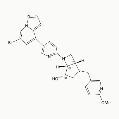 COc1ccc(CN2C[C@H](O)[C@H]3[C@@H]2CN3c2ccc(-c3cc(Br)cn4nccc34)cn2)cn1